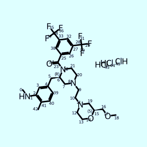 CNc1cc(C[C@@H]2CN(CCN3CCO[C@H](COC)C3)CCN2C(=O)c2cc(C(F)(F)F)cc(C(F)(F)F)c2)ccc1C.Cl.Cl.Cl